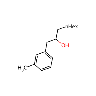 CCCCCCCC(O)Cc1cccc(C)c1